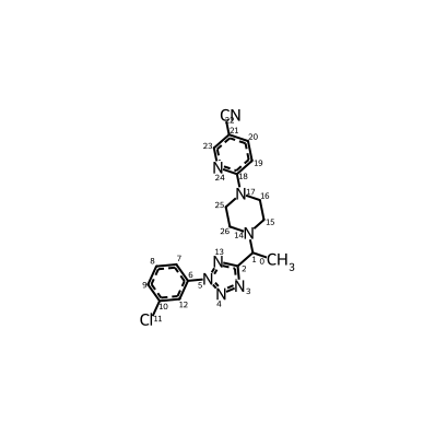 CC(c1nnn(-c2cccc(Cl)c2)n1)N1CCN(c2ccc(C#N)cn2)CC1